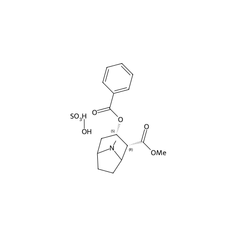 COC(=O)[C@@H]1C2CCC(C[C@@H]1OC(=O)c1ccccc1)N2C.O=S(=O)(O)O